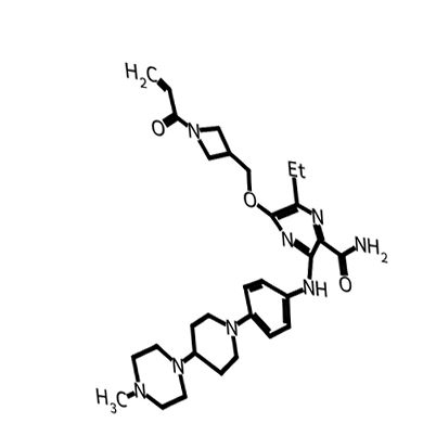 C=CC(=O)N1CC(COc2nc(Nc3ccc(N4CCC(N5CCN(C)CC5)CC4)cc3)c(C(N)=O)nc2CC)C1